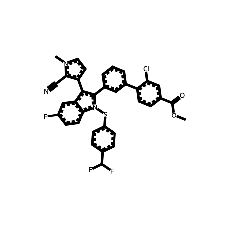 COC(=O)c1ccc(-c2cccc(-c3c(-c4ccn(C)c4C#N)c4cc(F)ccc4n3Sc3ccc(C(F)F)cc3)c2)c(Cl)c1